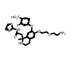 CC1(CC(=O)Nc2nccs2)NCCc2cc(OCCOCCN)c(Oc3ccc(C(=O)O)c(F)c3)cc21